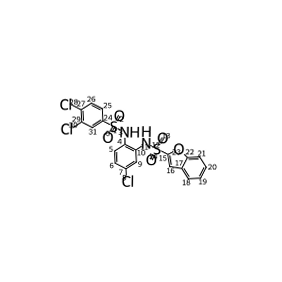 O=S(=O)(Nc1ccc(Cl)cc1NS(=O)(=O)c1cc2ccccc2o1)c1ccc(Cl)c(Cl)c1